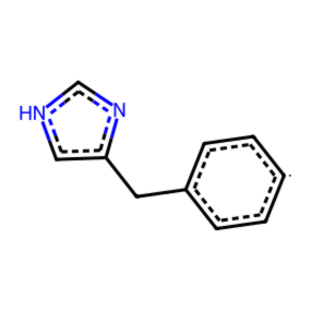 [c]1ccc(Cc2c[nH]cn2)cc1